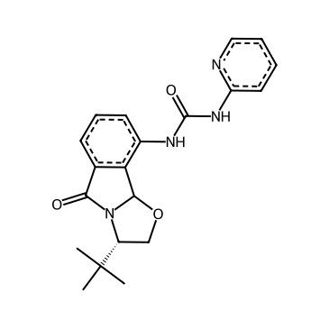 CC(C)(C)[C@H]1COC2c3c(NC(=O)Nc4ccccn4)cccc3C(=O)N21